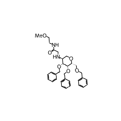 COCCNC(=O)CN[C@H]1CO[C@H](COCc2ccccc2)[C@H](OCc2ccccc2)[C@@H]1OCc1ccccc1